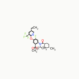 C=Cc1cnc(Oc2cc(C(=O)OC)c(N(C(=O)[C@H]3CC[C@H](C)CC3)C(C)C)cc2F)c(C(F)(F)F)c1